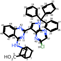 O=C(O)C1C2CCC(CC2)C1Nc1nc(-c2cn(C(c3ccccc3)(c3ccccc3)c3ccccc3)c3ncc(Cl)nc23)nc2ccccc12